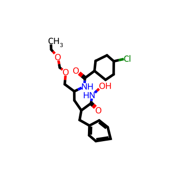 CCOCOCC(CC(Cc1ccccc1)C(=O)NO)NC(=O)C1CCC(Cl)CC1